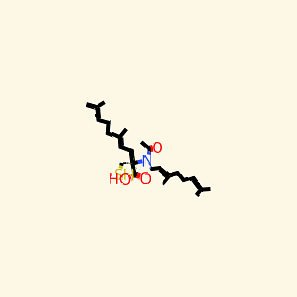 CC(=O)N(C/C=C(\C)CCC=C(C)C)[C@](CS)(C/C=C(\C)CCC=C(C)C)C(=O)O